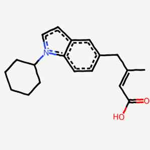 CC(=CC(=O)O)Cc1ccc2c(ccn2C2CCCCC2)c1